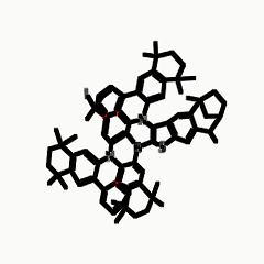 CC1c2cc3sc4c(c3cc2C2(C)CCC1C2)N(c1cc2c(cc1-c1ccccc1)C(C)(C)CCC2(C)C)c1cc(C(C)(C)I)cc2c1B4c1cc3c(cc1N2c1cc2c(cc1-c1ccccc1)C(C)(C)CCC2(C)C)C(C)(C)CCC3(C)C